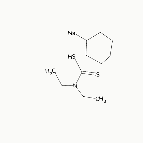 CCN(CC)C(=S)S.[Na][CH]1CCCCC1